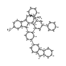 FC(F)(F)c1ccc2c3ccc(C(F)(F)F)cc3n(-c3ccc(-c4ccc5oc6ccccc6c5c4)cc3-c3nc(-c4ccccc4)nc(-c4ccccc4)n3)c2c1